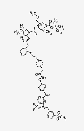 COC[C@H]1CN(C(=O)OC(C)(C)C)[C@H](C)CN1CC(=O)N1CC(C)(C)c2ncc(Cc3ccccc3OCCN3CCN(CC(=O)NOc4ccc(Nc5ncc(C(F)(F)F)c(NCc6cccc(S(C)(=O)=O)c6)n5)cc4)CC3)cc21